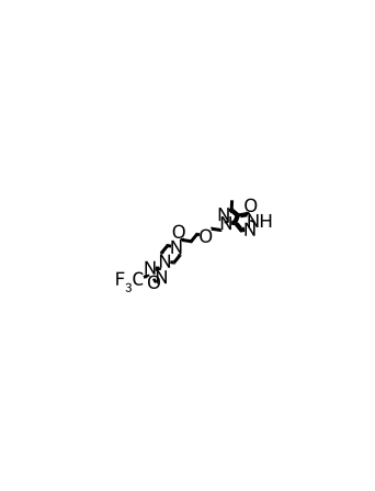 Cc1nn(CCOCCC(=O)N2CCN(c3noc(C(F)(F)F)n3)CC2)c2cn[nH]c(=O)c12